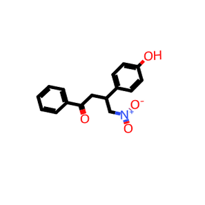 O=C(CC(C[N+](=O)[O-])c1ccc(O)cc1)c1ccccc1